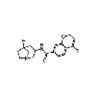 O=C(N[C@@H]1C[C@H]2CCN(C2)C1)c1ccc2c(c1)OCC=C2F